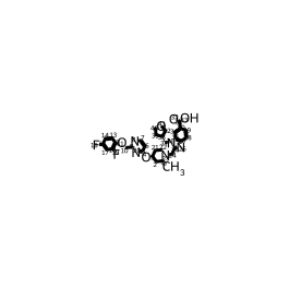 C[C@H]1C[C@@H](Oc2ccnc(COc3ccc(F)cc3F)n2)CCN1Cc1nc2ccc(C(=O)O)cc2n1C[C@@H]1CCOC1